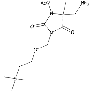 CC(=O)ON1C(=O)N(COCC[Si](C)(C)C)C(=O)C1(C)CN